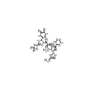 Cc1c(-c2cnn(C)c2)nn(-c2ccccc2)c1NC(=O)N[C@@H]1CN(C2CC(F)(F)C2)C[C@H]1c1ccc(F)c(F)c1